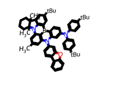 Cc1cc2c3c(c1)N1c4c(cc(C(C)(C)C)cc4C4(C)CCCCC14C)B3c1ccc(N(c3ccc(C(C)(C)C)cc3)c3ccc(C(C)(C)C)cc3)cc1N2c1ccc2c(c1)oc1ccccc12